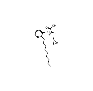 C=C(C)C(=O)O.CC1CO1.CCCCCCCCCc1ccccc1O